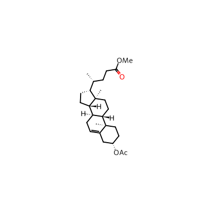 COC(=O)CC[C@@H](C)[C@H]1CC[C@H]2[C@@H]3CC=C4C[C@@H](OC(C)=O)CC[C@]4(C)[C@H]3CC[C@]12C